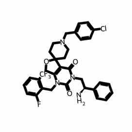 N[C@@H](Cn1c(=O)c2c(n(Cc3c(F)cccc3C(F)(F)F)c1=O)COC21CCN(Cc2ccc(Cl)cc2)CC1)c1ccccc1